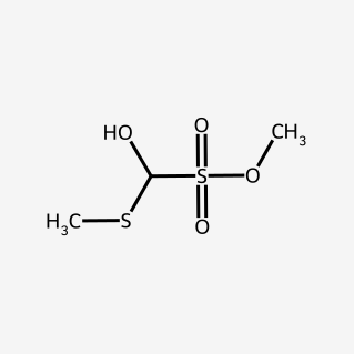 COS(=O)(=O)C(O)SC